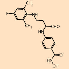 Cc1cc(F)cc(C)c1NCCC(C=O)Nc1ccc(C(=O)NO)cc1